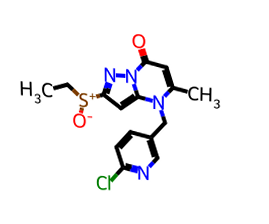 CC[S+]([O-])c1cc2n(Cc3ccc(Cl)nc3)c(C)cc(=O)n2n1